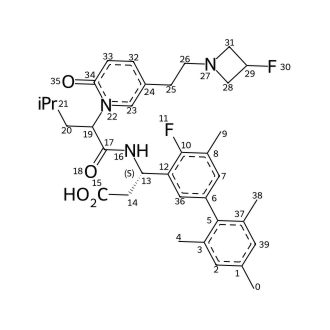 Cc1cc(C)c(-c2cc(C)c(F)c([C@H](CC(=O)O)NC(=O)C(CC(C)C)n3cc(CCN4CC(F)C4)ccc3=O)c2)c(C)c1